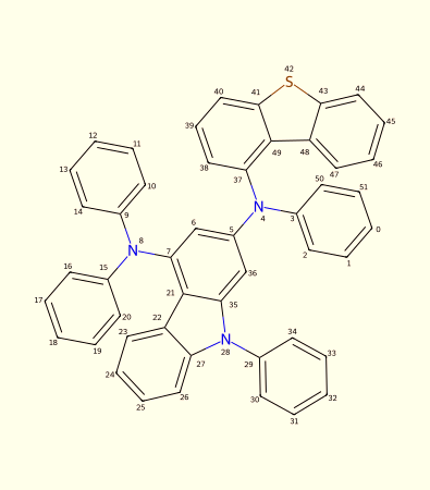 c1ccc(N(c2cc(N(c3ccccc3)c3ccccc3)c3c4ccccc4n(-c4ccccc4)c3c2)c2cccc3sc4ccccc4c23)cc1